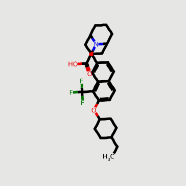 CCC1CCC(Oc2ccc3ccc(CN4C5CCCC4CC(C(=O)O)C5)cc3c2C(F)(F)F)CC1